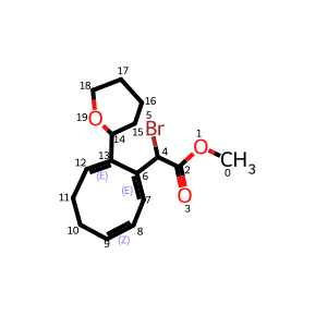 COC(=O)C(Br)C1=C/C=C\CC/C=C\1C1CCCCO1